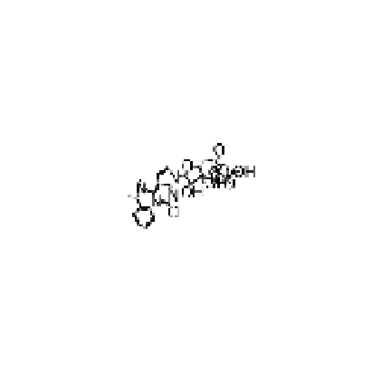 CC(c1ccccc1)N(C)c1nc(Cl)nc2c1ccn2[C@@H]1O[C@H](CS(=O)(=O)CP(=O)(O)O)[C@@H](O)[C@H]1O